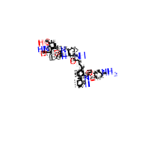 CC(C)(C)[Si](C)(C)O[C@@H](CNC[C@H]1CC[C@H](NC(=O)CCCc2ccc(-c3ccccc3)c(NC(=O)O[C@H]3CC[C@H](N)CC3)c2)CC1)c1ccc(O)c2[nH]c(=O)ccc12